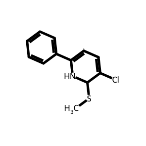 CSC1NC(c2ccccc2)=[C]C=C1Cl